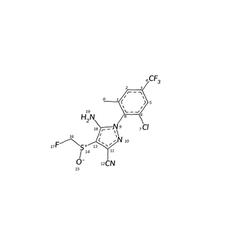 Cc1cc(C(F)(F)F)cc(Cl)c1-n1nc(C#N)c([S+]([O-])CF)c1N